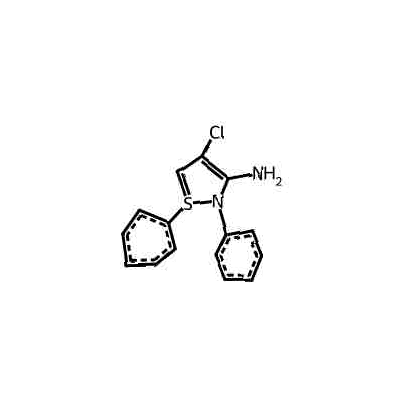 NC1=C(Cl)C=S(c2ccccc2)N1c1ccccc1